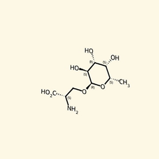 C[C@@H]1O[C@@H](OC[C@H](N)C(=O)O)[C@@H](O)[C@H](O)[C@@H]1O